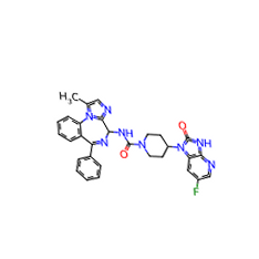 Cc1cnc2n1-c1ccccc1C(c1ccccc1)=NC2NC(=O)N1CCC(n2c(=O)[nH]c3ncc(F)cc32)CC1